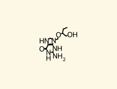 CCC(CO)OCN1CNC2=C1NC(N)NC2=O